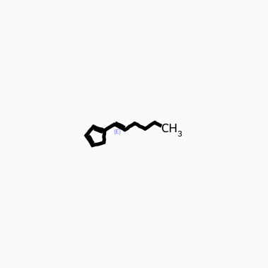 CCCC/C=C/C1=CC=CC1